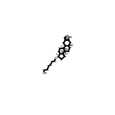 C[C@]12Cc3cn[nH]c3C[C@@H]1CC[C@H]1[C@@H]2CC[C@]2(C)[C@@H](OCCCCCCO)CC[C@@H]12